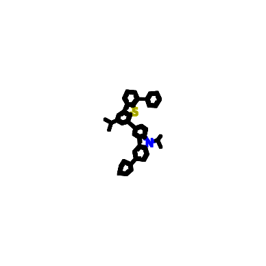 CC(C)c1cc(-c2ccc3c(c2)c2cc(-c4ccccc4)ccc2n3C(C)C)c2sc3c(-c4ccccc4)cccc3c2c1